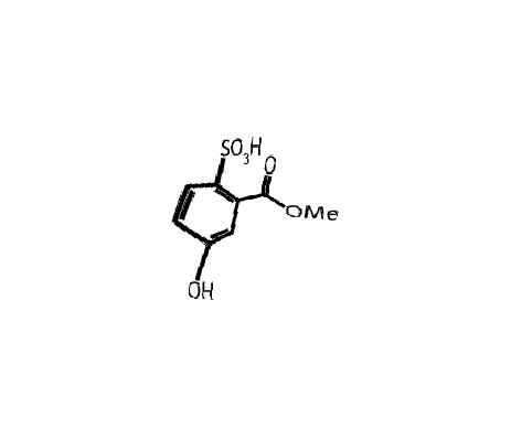 COC(=O)c1cc(O)ccc1S(=O)(=O)O